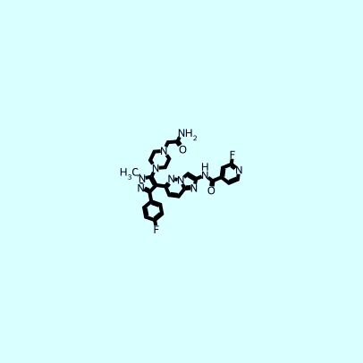 Cn1nc(-c2ccc(F)cc2)c(-c2ccc3nc(NC(=O)c4ccnc(F)c4)cn3n2)c1N1CCN(CC(N)=O)CC1